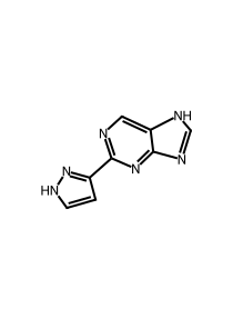 c1cc(-c2ncc3[nH]cnc3n2)n[nH]1